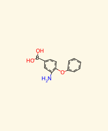 Nc1cc(B(O)O)ccc1Oc1ccccc1